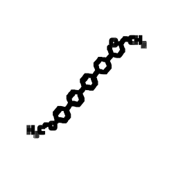 C=CC1CCC(C2CCC(c3ccc(-c4ccc(-c5ccc(OCC)cc5)cc4)cc3)CC2)CO1